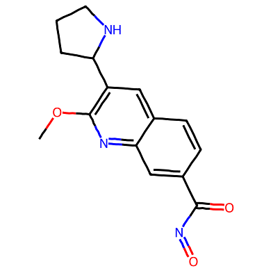 COc1nc2cc(C(=O)N=O)ccc2cc1C1CCCN1